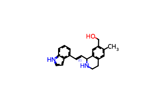 Cc1cc2c(cc1CO)C(/C=C/c1cccc3[nH]ccc13)NCC2